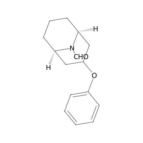 O=CN1[C@@H]2CCC[C@H]1CC(Oc1ccccc1)C2